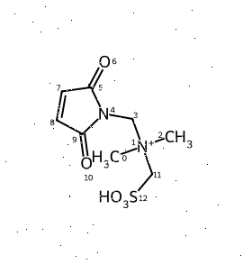 C[N+](C)(CN1C(=O)C=CC1=O)CS(=O)(=O)O